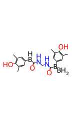 BB(C(=O)NCNC(=O)Bc1cc(C)c(O)c(C)c1)c1cc(C)c(O)c(C)c1